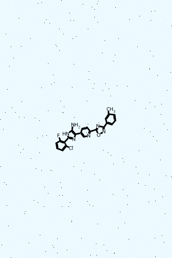 Cc1cccc(-c2noc(-c3ccc(-c4nc(-c5c(F)cccc5Cl)[nH]c4N)cn3)n2)c1